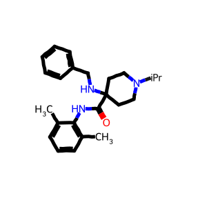 Cc1cccc(C)c1NC(=O)C1(NCc2ccccc2)CCN(C(C)C)CC1